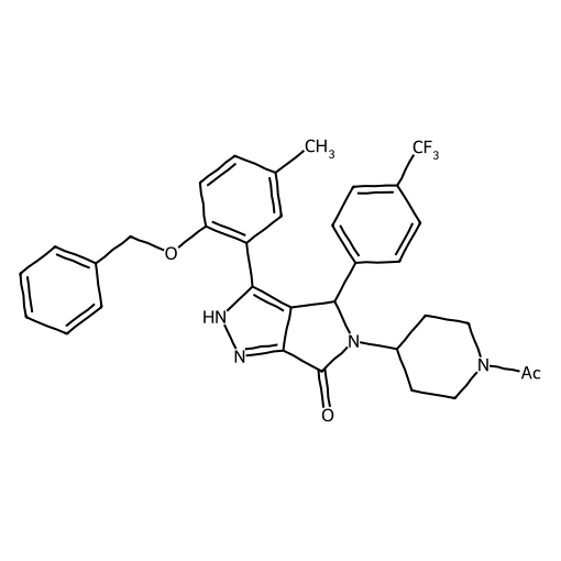 CC(=O)N1CCC(N2C(=O)c3n[nH]c(-c4cc(C)ccc4OCc4ccccc4)c3C2c2ccc(C(F)(F)F)cc2)CC1